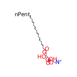 CCCCCC=CCC=CCC=CCC=CCC=CCC=CCC(=O)OC[C@@H](O)COP(=O)(O)OCC[N+](C)(C)C